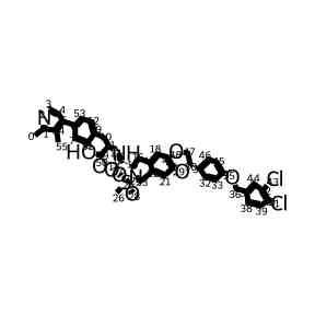 Cc1nccc(-c2ccc(CC(NC(=O)[C@@H]3Cc4cc5c(cc4CN3S(C)(=O)=O)O[C@@H](c3ccc(OCc4ccc(Cl)c(Cl)c4)cc3)CO5)C(=O)O)cc2)c1C